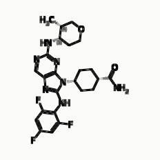 C[C@@H]1COCC[C@@H]1Nc1ncc2nc(Nc3c(F)cc(F)cc3F)n([C@H]3CC[C@@H](C(N)=O)CC3)c2n1